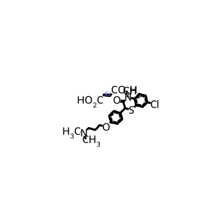 CN(C)CCCOc1ccc(C2Sc3cc(Cl)ccc3N(C)C2=O)cc1.O=C(O)/C=C/C(=O)O